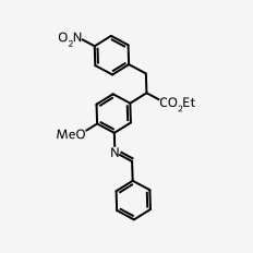 CCOC(=O)C(Cc1ccc([N+](=O)[O-])cc1)c1ccc(OC)c(N=Cc2ccccc2)c1